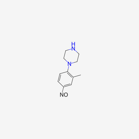 Cc1cc(N=O)ccc1N1CCNCC1